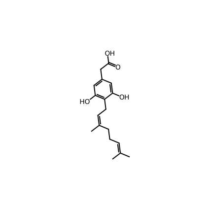 CC(C)=CCCC(C)=CCc1c(O)cc(CC(=O)O)cc1O